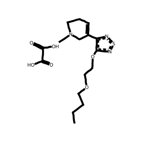 CCCCOCCOc1nsnc1C1=CCCN(C)C1.O=C(O)C(=O)O